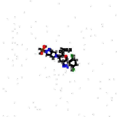 CS(=O)(=O)O.CS(=O)(=O)n1cc2c(n1)CN([C@@H]1C[C@H](N)[C@@H](c3cc(F)ccc3F)O[C@@H]1C(F)(F)F)C2